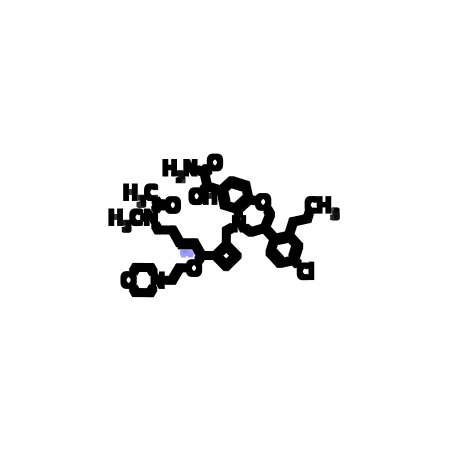 CCCc1cc(Cl)ccc1C1COc2ccc(C(O)C(N)=O)cc2N(CC2CCC2C(/C=C/CCN(C)C(C)=O)OCCN2CCOCC2)C1